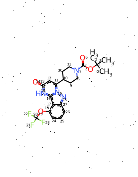 CC(C)(C)OC(=O)N1CCC(c2cc(=O)[nH]c3c4c(OC(F)(F)F)cccc4nn23)CC1